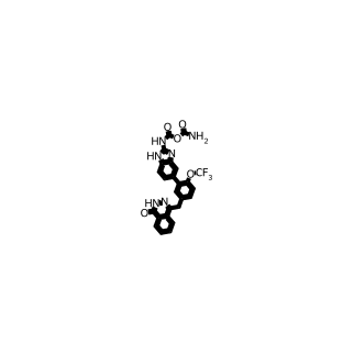 NC(=O)OC(=O)Nc1nc2cc(-c3cc(Cc4n[nH]c(=O)c5ccccc45)ccc3OC(F)(F)F)ccc2[nH]1